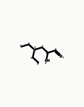 CCN([CH]C(O)C=O)CC